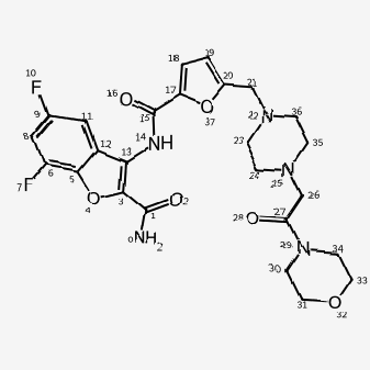 NC(=O)c1oc2c(F)cc(F)cc2c1NC(=O)c1ccc(CN2CCN(CC(=O)N3CCOCC3)CC2)o1